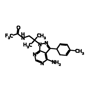 CC1=CCC(c2nn(C(C)(C)CNC(=O)C(F)(F)F)c3ncnc(N)c23)C=C1